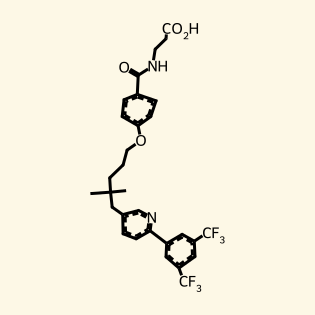 CC(C)(CCCOc1ccc(C(=O)NCCC(=O)O)cc1)Cc1ccc(-c2cc(C(F)(F)F)cc(C(F)(F)F)c2)nc1